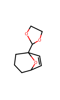 C1=CC2(C3OCCO3)CCCC1O2